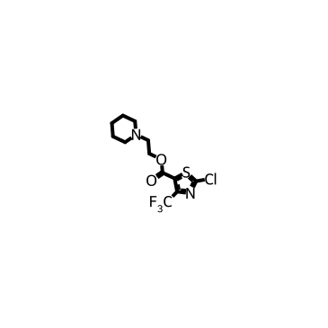 O=C(OCCN1CCCCC1)c1sc(Cl)nc1C(F)(F)F